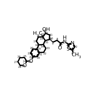 Cc1cnc(NC(=O)CC[C@@H]2C[C@H](O)[C@@]3(C)CCC4c5ccc(OC6CCCCO6)cc5CCC4C23)s1